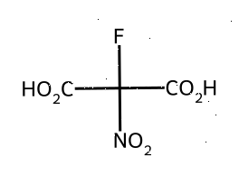 O=C(O)C(F)(C(=O)O)[N+](=O)[O-]